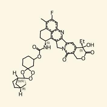 CC[C@@]1(O)C(=O)OCc2c1cc1n(c2=O)Cc2c-1nc1cc(F)c(C)c3c1c2[C@@H](NC(=O)OC1CCCC2(C1)OO[C@]1(C[C@@H]4CC[C@H]1C4)O2)CC3